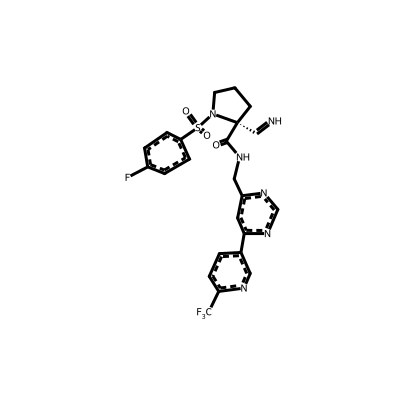 N=C[C@@]1(C(=O)NCc2cc(-c3ccc(C(F)(F)F)nc3)ncn2)CCCN1S(=O)(=O)c1ccc(F)cc1